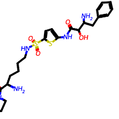 NC(CCCCNS(=O)(=O)c1ccc(NC(=O)C(O)C(N)Cc2ccccc2)s1)C(=O)N1CCSC1